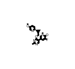 COc1ccc([C@H]2CC2COc2nc(C)ncc2-c2cc(F)c(=O)n(C)c2)nc1